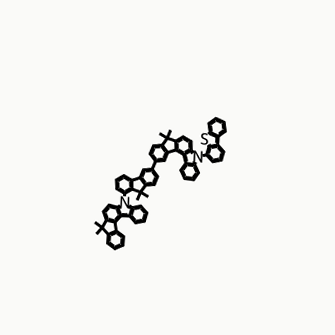 CC1(C)c2ccccc2-c2c1ccc1c2c2ccccc2n1-c1cccc2c1C(C)(C)c1ccc(-c3ccc4c(c3)-c3c(ccc5c3c3ccccc3n5-c3cccc5c3sc3ccccc35)C4(C)C)cc1-2